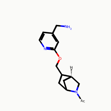 CC(=O)N1C[C@H]2CC1CC2COc1cc(CN)ccn1